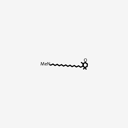 CNCCCCCCCCCCCCCCCC1=C(C)C(=O)CCC1(C)C